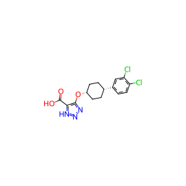 O=C(O)c1[nH]nnc1O[C@H]1CC[C@@H](c2ccc(Cl)c(Cl)c2)CC1